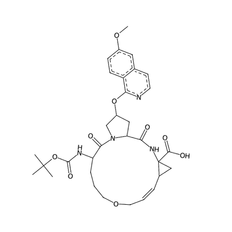 COc1ccc2c(OC3CC4C(=O)NC5(C(=O)O)CC5/C=C\COCCCC(NC(=O)OC(C)(C)C)C(=O)N4C3)nccc2c1